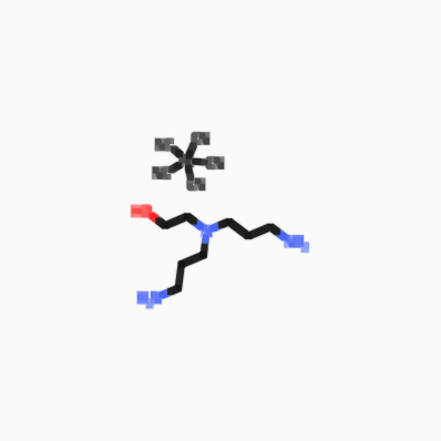 N#[C][Fe]([C]#N)([C]#N)([C]#N)[C]#N.NCCCN(CCO)CCCN